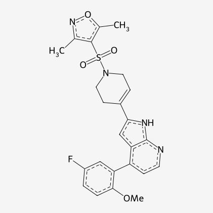 COc1ccc(F)cc1-c1ccnc2[nH]c(C3=CCN(S(=O)(=O)c4c(C)noc4C)CC3)cc12